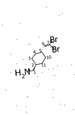 NC[C@H]1CC[C@H](C=C(Br)Br)CC1